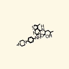 Cc1csc2nc(Nc3ccc(N4CCN(C)CC4)cc3)nc(NC(CC(C)C)C(=O)O)c12